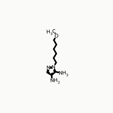 COCCCCCCn1ncc(N)c1N